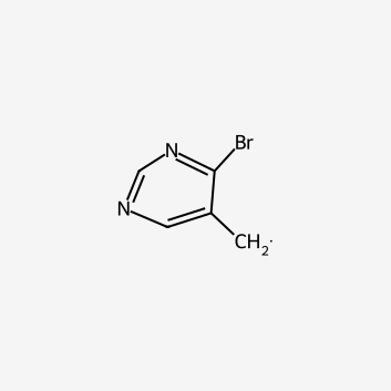 [CH2]c1cncnc1Br